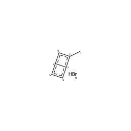 Br.Cc1cc2ccc1-2